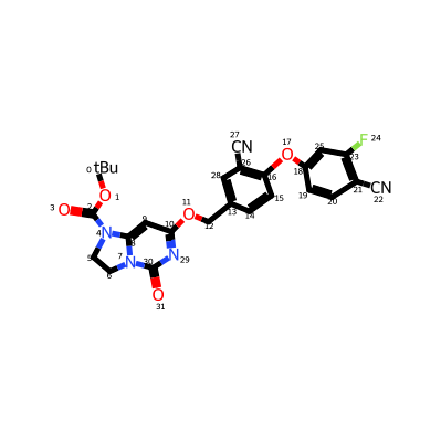 CC(C)(C)OC(=O)N1CCn2c1cc(OCc1ccc(Oc3ccc(C#N)c(F)c3)c(C#N)c1)nc2=O